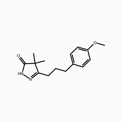 COc1ccc(CCCC2=NNC(=O)C2(C)C)cc1